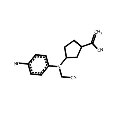 C=C(C#N)C1CCC(N(CC#N)c2ccc(Br)cc2)C1